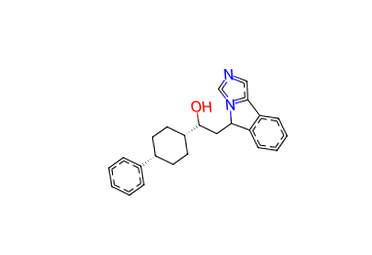 OC(CC1c2ccccc2-c2cncn21)[C@H]1CC[C@@H](c2ccccc2)CC1